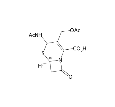 CC(=O)NC1S[C@@H]2CC(=O)N2C(C(=O)O)=C1COC(C)=O